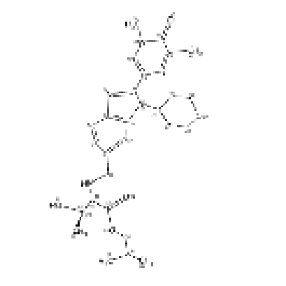 Cc1cc(-c2nc3ccc(CN[C@H](C(=O)OCC(C)C)[C@@H](C)O)cc3n2C2CCOCC2)cn(C)c1=O